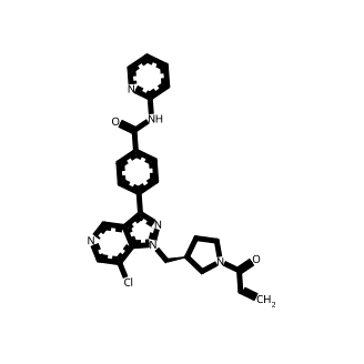 C=CC(=O)N1CC[C@H](Cn2nc(-c3ccc(C(=O)Nc4ccccn4)cc3)c3cncc(Cl)c32)C1